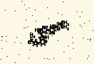 CC(=O)c1ccc(-c2ccnc3[nH]c(-c4n[nH]c5ncc(-c6cncc(NC(=O)CN(C)C)c6)cc45)cc23)s1